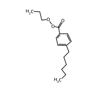 [CH2]CCOOC(=O)c1ccc(CCCCCC)cc1